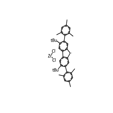 Cc1cc(C)c(-c2cc3c(cc2C(C)(C)C)-c2cc(C(C)(C)C)c(-c4c(C)cc(C)cc4C)cc2[CH]3)c(C)c1.[Cl][Zr][Cl]